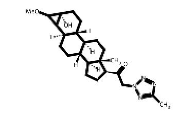 COC1C2[C@@H]3CC[C@@H]4[C@H](CC[C@]5(C)[C@@H](C(=O)Cn6nnc(C)n6)CC[C@@H]45)[C@H]3CC[C@]12O